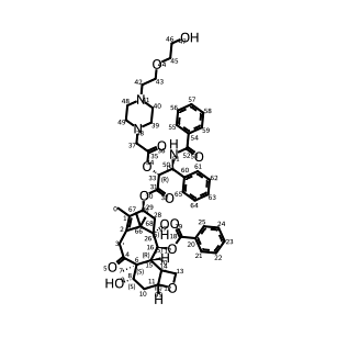 CC1=C2[CH]C(=O)[C@]3(C)[C@@H](O)C[C@H]4OC[C]4[C@H]3[C@H](OC(=O)c3ccccc3)[C@](O)(C[C@@H]1OC(=O)[C@H](OC(=O)CN1CCN(CCOCCO)CC1)[C@@H](NC(=O)c1ccccc1)c1ccccc1)C2(C)C